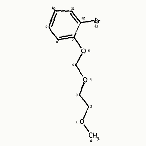 COCCOCOc1ccccc1Br